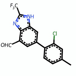 Cc1ccc(-c2cc(C=O)c3nc(C(F)(F)F)[nH]c3c2)c(Cl)c1